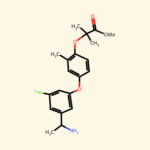 COC(=O)C(C)(C)Oc1ccc(Oc2cc(F)cc(C(C)N)c2)cc1C